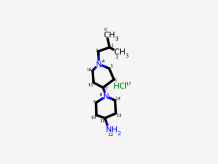 CC(C)CN1CCC(N2CCC(N)CC2)CC1.Cl